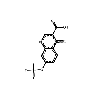 O=C(O)c1c[nH]c2cc(OC(F)(F)F)ccc2c1=O